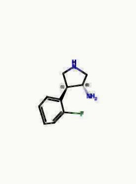 N[C@H]1CNC[C@@H]1c1ccccc1F